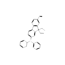 CCC1(CC)c2cc(C=O)ccc2-c2ccc(N(c3ccccc3)C3C=CC=CC3)cc21